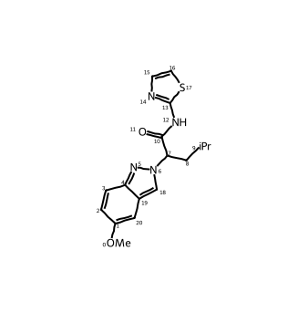 COc1ccc2nn(C(CC(C)C)C(=O)Nc3nccs3)cc2c1